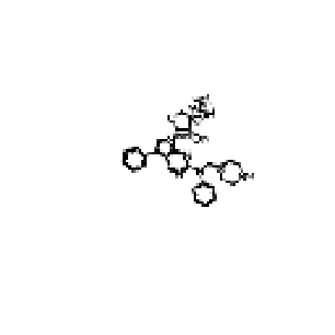 Cl.Cl.O[C@@H]1[C@H](O)CO[C@H]1n1cc(-c2ccccc2)c2cnc(N(CN3CCNCC3)c3ccccc3)nc21